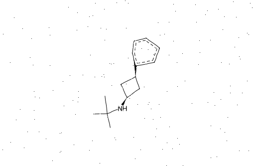 CC(C)(C)N[C@H]1C[C@@H](c2ccccc2)C1